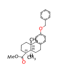 COC(=O)[C@@]1(C)CCC[C@]2(C)c3cc(OCc4ccccc4)ccc3CC[C@@H]12